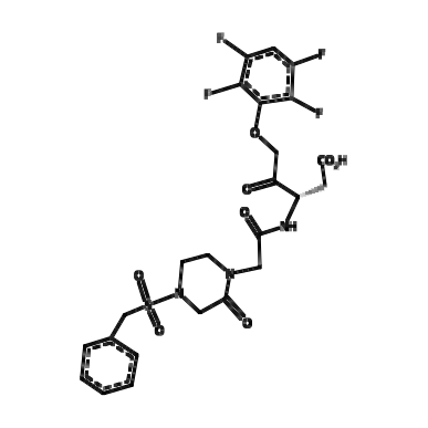 O=C(O)C[C@H](NC(=O)CN1CCN(S(=O)(=O)Cc2ccccc2)CC1=O)C(=O)COc1c(F)c(F)cc(F)c1F